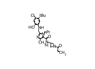 C=CC(=O)N1CC(NC(=O)c2c(C)nc(CNc3cc(C(C)(C)C)c(Cl)cc3O)n2CCC)C1